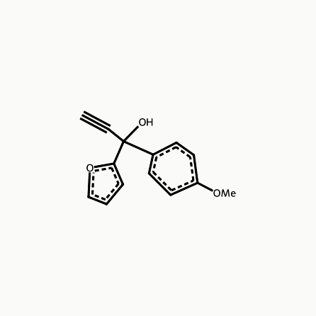 C#CC(O)(c1ccc(OC)cc1)c1ccco1